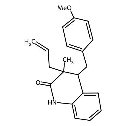 C=CCC1(C)C(=O)Nc2ccccc2C1Cc1ccc(OC)cc1